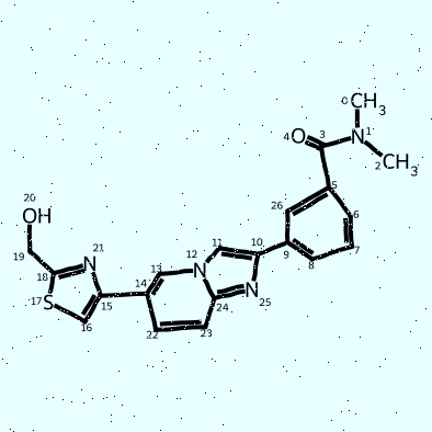 CN(C)C(=O)c1cccc(-c2cn3cc(-c4csc(CO)n4)ccc3n2)c1